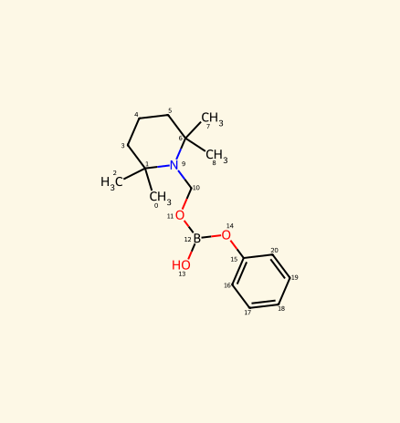 CC1(C)CCCC(C)(C)N1COB(O)Oc1ccccc1